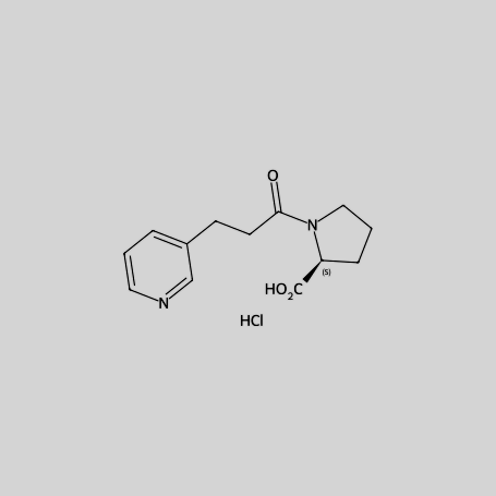 Cl.O=C(O)[C@@H]1CCCN1C(=O)CCc1cccnc1